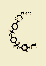 CCCCCC1COC(C2CCC(C(F)(F)OC3CCC(C(F)(F)Oc4cc(F)c(OC=C(F)F)c(F)c4)CC3)CC2)OC1